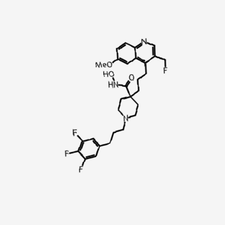 COc1ccc2ncc(CF)c(CCCC3(C(=O)NO)CCN(CCCc4cc(F)c(F)c(F)c4)CC3)c2c1